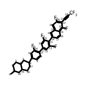 CC1CCC2CC(c3ccc(-c4cc(F)c(-c5ccc6c(F)c(C#CC(F)(F)F)c(F)cc6c5)c(F)c4)c(F)c3)CCC2C1